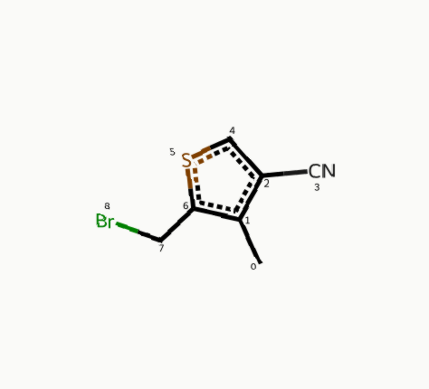 Cc1c(C#N)csc1CBr